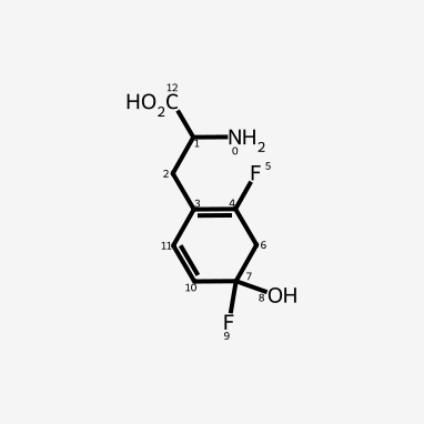 NC(CC1=C(F)CC(O)(F)C=C1)C(=O)O